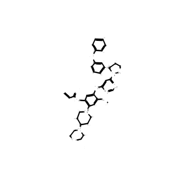 C=CC(=O)Nc1cc(Nc2cc(N3OCC[C@@H]3c3cccc(Oc4ccccc4)c3)ncn2)c(OC)cc1N1CCC(N2CCO[C@@H](C)C2)CC1